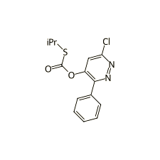 CC(C)SC(=O)Oc1cc(Cl)nnc1-c1ccccc1